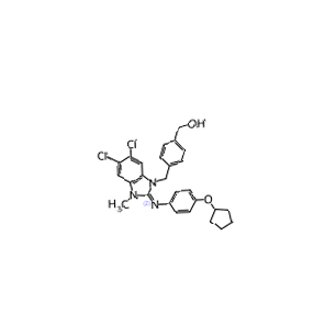 Cn1/c(=N/c2ccc(OC3CCCC3)cc2)n(Cc2ccc(CO)cc2)c2cc(Cl)c(Cl)cc21